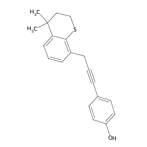 CC1(C)CCSc2c(CC#Cc3ccc(O)cc3)cccc21